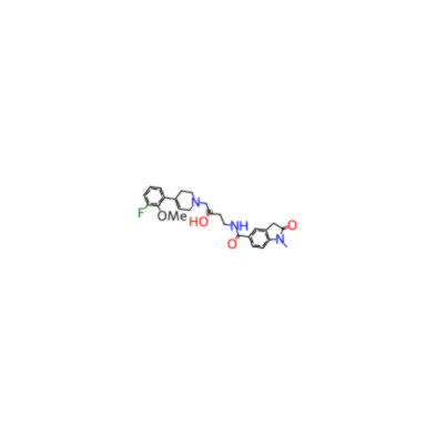 COc1c(F)cccc1C1=CCN(C[C@H](O)CCNC(=O)c2ccc3c(c2)CC(=O)N3C)CC1